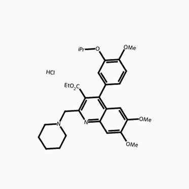 CCOC(=O)c1c(CN2CCCCC2)nc2cc(OC)c(OC)cc2c1-c1ccc(OC)c(OC(C)C)c1.Cl